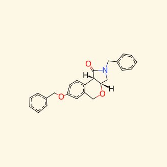 O=C1[C@H]2c3ccc(OCc4ccccc4)cc3CO[C@H]2CN1Cc1ccccc1